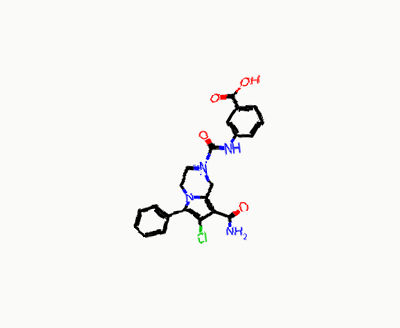 NC(=O)c1c(Cl)c(-c2ccccc2)n2c1CN(C(=O)Nc1cccc(C(=O)O)c1)CC2